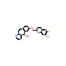 OC1c2cc(OCc3ccc4cc(F)c(Cl)cc4n3)ccc2C=Cc2ncccc21